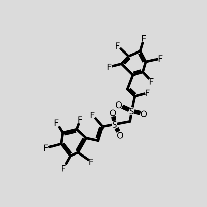 O=S(=O)(CS(=O)(=O)C(F)=Cc1c(F)c(F)c(F)c(F)c1F)C(F)=Cc1c(F)c(F)c(F)c(F)c1F